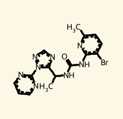 Cc1ccc(Br)c(NC(=O)NC(C)c2ncnn2-c2ncccn2)n1